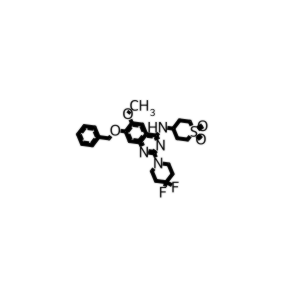 COc1cc2c(NC3CCS(=O)(=O)CC3)nc(N3CCC(F)(F)CC3)nc2cc1OCc1ccccc1